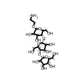 NCCO[C@H]1OC(CO)[C@H](O[C@H]2OC(CO)[C@@H](O[C@@H]3OC(CO)[C@@H](O)C(O)C3O)C(O)C2O)C(O)C1O